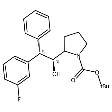 CC(C)(C)OC(=O)N1CCCC1[C@@H](O)[C@@H](c1ccccc1)c1cccc(F)c1